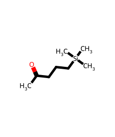 CC(=O)CCC[Si](C)(C)C